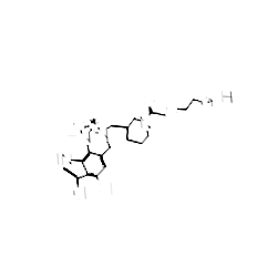 COCCOCC(=O)N1CCCC(CN2Cc3cc(Cl)c4c(Cl)c[nH]c4c3NS2(=O)=O)C1